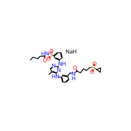 CCCCC(=O)NS(=O)(=O)c1cccc(Nc2ncc(C)c(Nc3cccc(CNC(=O)CCCCS(=O)(=O)C4CC4)c3)n2)c1.[NaH]